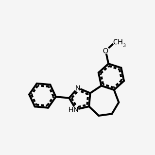 COc1ccc2c(c1)-c1nc(-c3ccccc3)[nH]c1CCC2